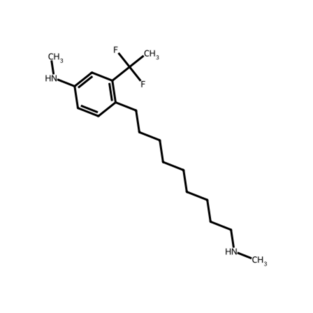 CNCCCCCCCCCc1ccc(NC)cc1C(C)(F)F